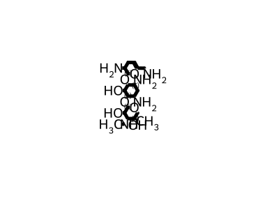 CNC1C(O)[C@H](O[C@H]2C(N)C[C@H](N)C(O[C@H]3OC(CN)=CCC3N)C2O)OC[C@]1(C)O